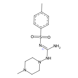 Cc1ccc(S(=O)(=O)/N=C(\N)NN2CCN(C)CC2)cc1